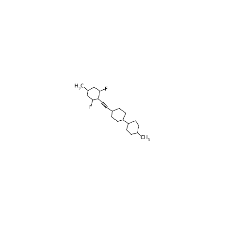 CC1CCC(C2CCC(C#CC3C(F)CC(C)CC3F)CC2)CC1